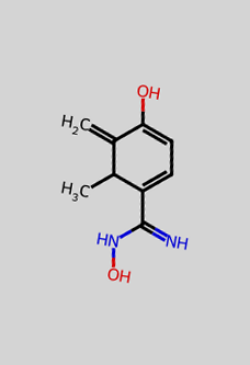 C=C1C(O)=CC=C(C(=N)NO)C1C